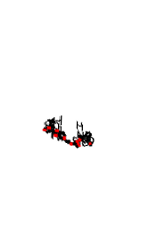 CC(C)(C)OC(=O)N1CCCC1c1nc(-c2ccc(C/C=C/c3ccc4[nH]c([C@@H]5CCCN5C(=O)OC(C)(C)C)nc4c3)s2)c[nH]1